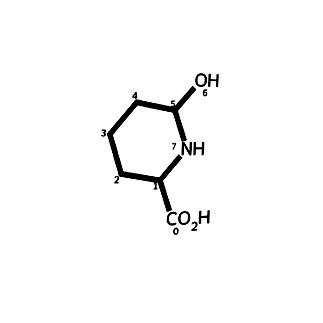 O=C(O)C1CCCC(O)N1